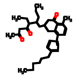 CCCCCCc1ccc(-c2ccc(C)c3c2CC(CC(CCC)C(CC)C(=O)CC(C)=O)CC3=O)cc1